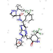 CC(C)n1nccc1C(=O)N[C@H](c1cn2nc(CC3C[C@@H](C(F)(F)F)CNC3=O)c(N3CC4CC(C3)O4)nc2n1)[C@H]1CCCC(F)(F)C1